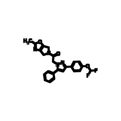 Cc1nc2c(o1)CN(C(=O)Cn1nc(-c3ccc(OC(F)F)cc3)cc1-c1ccccc1)C2